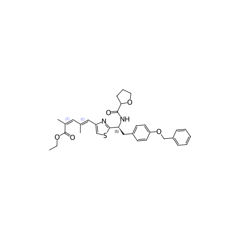 CCOC(=O)/C(C)=C\C(C)=C\c1csc([C@H](Cc2ccc(OCc3ccccc3)cc2)NC(=O)C2CCCO2)n1